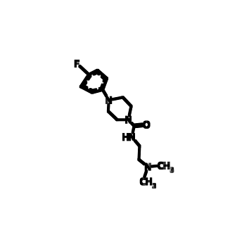 CN(C)CCNC(=O)N1CCN(c2ccc(F)cc2)CC1